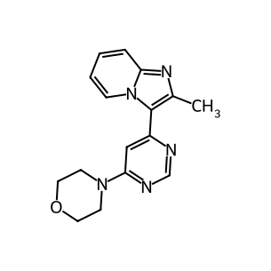 Cc1nc2ccccn2c1-c1cc(N2CCOCC2)ncn1